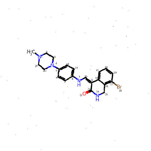 CN1CCN(c2ccc(N/C=C3\C(=O)NCc4c(Br)cccc43)cc2)CC1